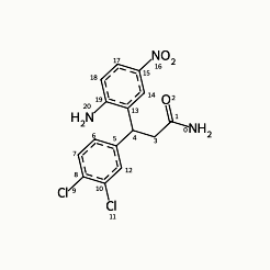 NC(=O)CC(c1ccc(Cl)c(Cl)c1)c1cc([N+](=O)[O-])ccc1N